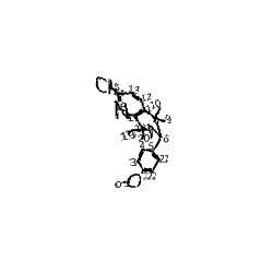 COc1ccc(CN2C(C)(C)c3ccc(Cl)nc3C2(C)C)cc1